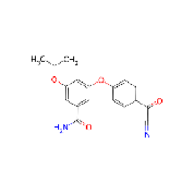 CC(C)Oc1cc(Oc2ccc(C(=O)C#N)cc2)cc(C(N)=O)c1